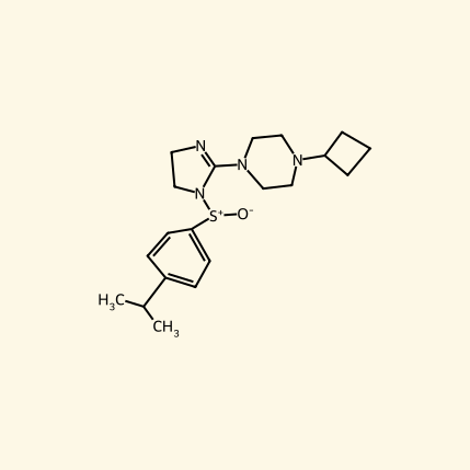 CC(C)c1ccc([S+]([O-])N2CCN=C2N2CCN(C3CCC3)CC2)cc1